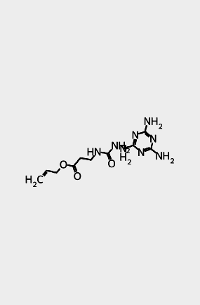 C=CCOC(=O)CCNC(N)=O.Nc1nc(N)nc(N)n1